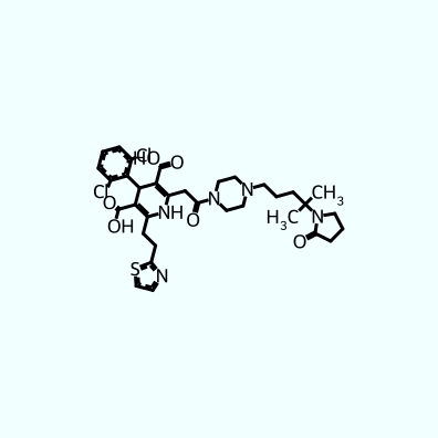 CC(C)(CCCN1CCN(C(=O)CC2=C(C(=O)O)C(c3c(Cl)cccc3Cl)C(C(=O)O)=C(CCc3nccs3)N2)CC1)N1CCCC1=O